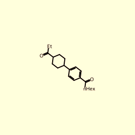 CCCCCCC(=O)c1ccc(C2CCC(C(=O)CC)CC2)cc1